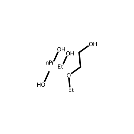 CCCO.CCO.CCOCCO.CO